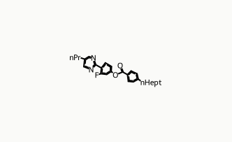 CCCCCCCc1ccc(C(=O)Oc2ccc(-c3ncc(CCC)cn3)c(F)c2)cc1